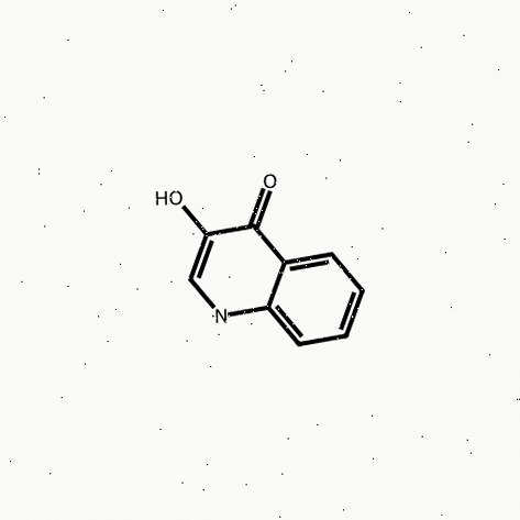 O=C1C(O)=C[N]c2ccccc21